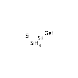 [Ge].[SiH4].[Si].[Si]